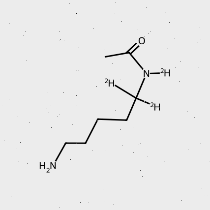 [2H]N(C(C)=O)C([2H])([2H])CCCCN